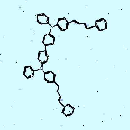 C(/C=C/c1ccc(N(c2ccccc2)c2ccc(-c3ccc(N(c4ccccc4)c4ccc(CC/C=C/c5ccccc5)cc4)cc3)cc2)cc1)=C\c1ccccc1